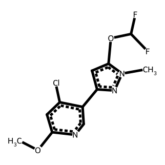 COc1cc(Cl)c(-c2cc(OC(F)F)n(C)n2)cn1